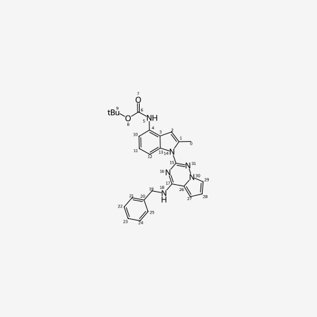 Cc1cc2c(NC(=O)OC(C)(C)C)cccc2n1-c1nc(NCc2ccccc2)c2cccn2n1